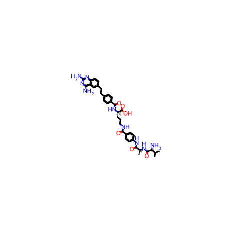 CC(C)[C@H](N)C(=O)N[C@@H](C)C(=O)Nc1ccc(C(=O)NCCC[C@H](NC(=O)c2ccc(CCc3ccc4nc(N)nc(N)c4c3)cc2)C(=O)O)cc1